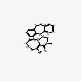 CN1C[C@@H](C2c3ccccc3CCc3cccnc32)N2/N=C\COC/C(O)=C\2C1=O